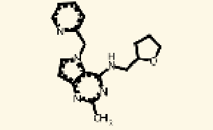 Cc1nc(NCC2CCCO2)c2c(ccn2Cc2ccccn2)n1